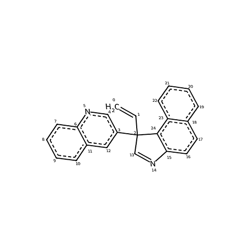 C=CC1(c2cnc3ccccc3c2)C=Nc2ccc3ccccc3c21